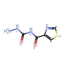 NNC(=O)NC(=O)c1cscn1